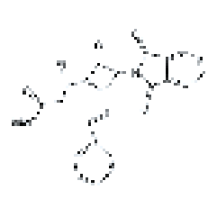 CC[C@@H](CC(=O)OC)N1C(=O)[C@H](N2C(=O)c3ccccc3C2=O)[C@@H]1C=Cc1ccccc1